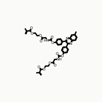 C=C(C)C(=O)OCCOC(=O)CNC(=O)Oc1ccc(-c2nc3ccc(C)cc3nc2-c2ccc(OC(=O)NCC(=O)OCCOC(=O)C(=C)C)cc2)cc1